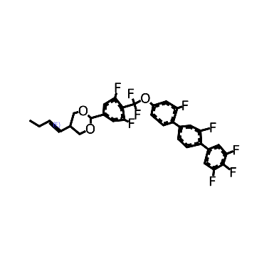 CC/C=C/C1COC(c2cc(F)c(C(F)(F)Oc3ccc(-c4ccc(-c5cc(F)c(F)c(F)c5)c(F)c4)c(F)c3)c(F)c2)OC1